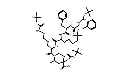 CC1CC(NC(=O)OC(C)(C)C)(C(=O)O)CCN1C(=O)[C@@H](CCCCNC(=O)OC(C)(C)C)NC(=O)C(CCCCC(F)(F)F)NC(=O)[C@@H](Cc1ccccc1)NC(=O)[C@@H](Cc1ccccc1)NC(=O)OC(C)(C)C